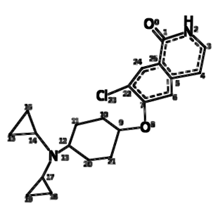 O=c1[nH]ccc2cc(OC3CCC(N(C4CC4)C4CC4)CC3)c(Cl)cc12